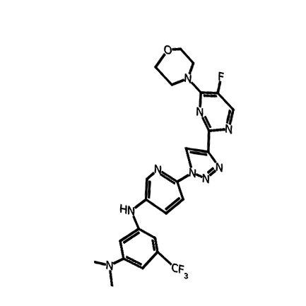 CN(C)c1cc(Nc2ccc(-n3cc(-c4ncc(F)c(N5CCOCC5)n4)nn3)nc2)cc(C(F)(F)F)c1